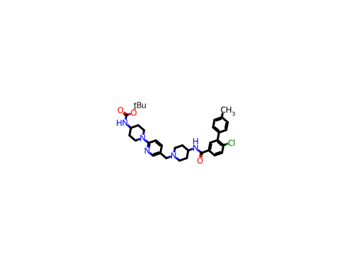 Cc1ccc(-c2cc(C(=O)NC3CCN(Cc4ccc(N5CCC(NC(=O)OC(C)(C)C)CC5)nc4)CC3)ccc2Cl)cc1